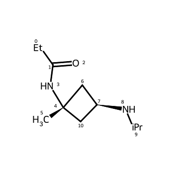 CCC(=O)N[C@]1(C)C[C@@H](NC(C)C)C1